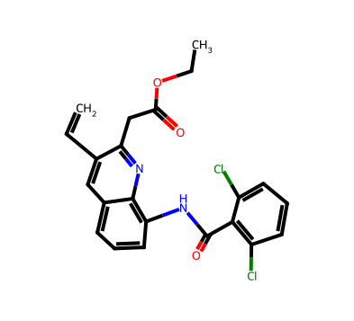 C=Cc1cc2cccc(NC(=O)c3c(Cl)cccc3Cl)c2nc1CC(=O)OCC